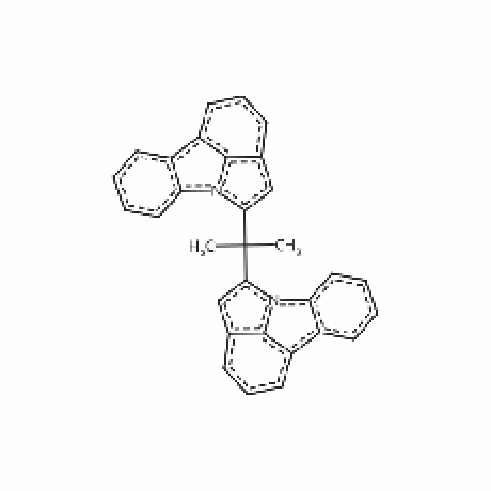 CC(C)(c1cc2cccc3c4ccccc4n1c23)c1cc2cccc3c4ccccc4n1c23